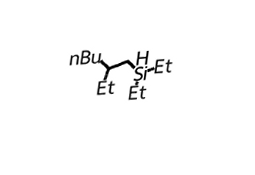 CCCCC(CC)C[SiH](CC)CC